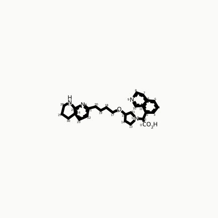 O=C(O)C(c1cccc2ccncc12)N1CCC(OCCCCc2ccc3c(n2)NCCC3)C1